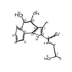 Cc1c(C(=O)NCC(C)O)oc2c1C(O)C(O)c1ccccc1-2